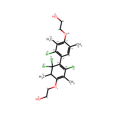 CC1=C(OCCO)C(C)C(Br)(Br)C(c2cc(C)c(OCCO)c(C)c2Br)=C1Br